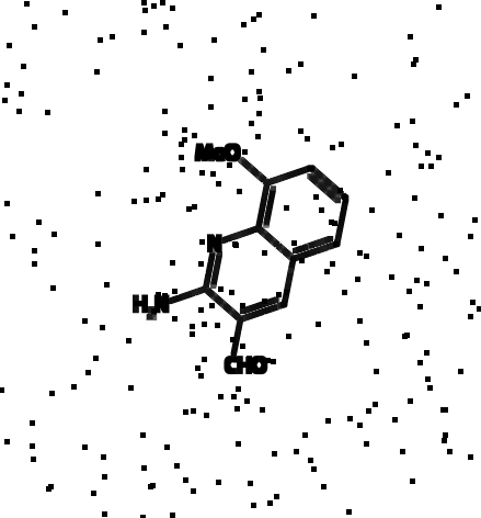 COc1cccc2cc(C=O)c(N)nc12